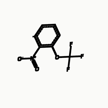 O=[N+]([O-])c1[c]cccc1OC(F)(F)F